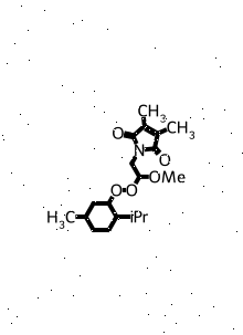 COC(CN1C(=O)C(C)=C(C)C1=O)OOC1CC(C)CCC1C(C)C